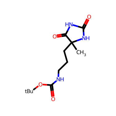 CC(C)(C)OC(=O)NCCCC1(C)NC(=O)NC1=O